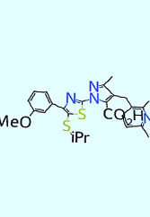 COc1cccc(-c2nc(-n3nc(C)c(Cc4ccc(C)nc4C)c3C(=O)O)sc2SC(C)C)c1